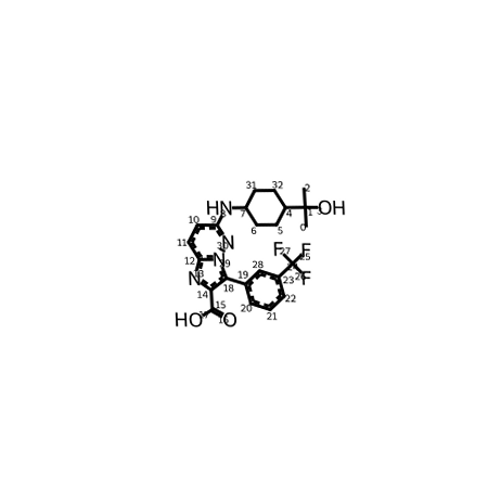 CC(C)(O)C1CCC(Nc2ccc3nc(C(=O)O)c(-c4cccc(C(F)(F)F)c4)n3n2)CC1